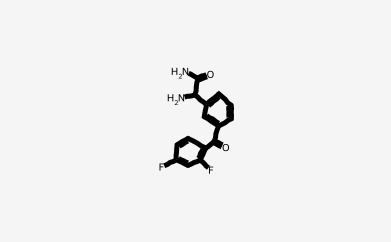 NC(=O)C(N)c1cccc(C(=O)c2ccc(F)cc2F)c1